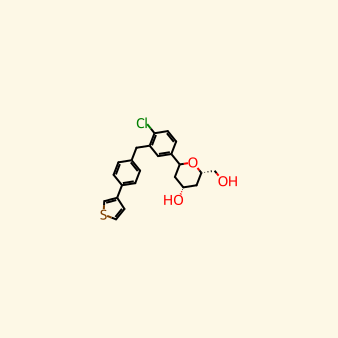 OC[C@@H]1C[C@H](O)CC(c2ccc(Cl)c(Cc3ccc(-c4ccsc4)cc3)c2)O1